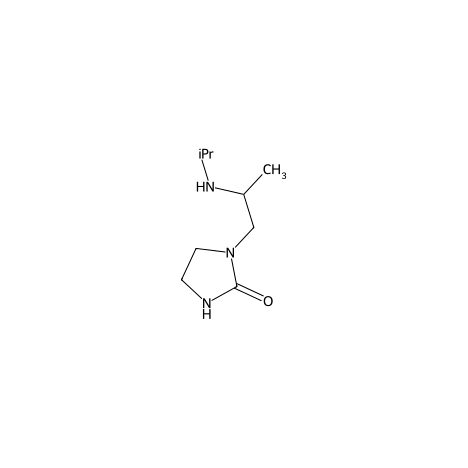 CC(C)NC(C)CN1CCNC1=O